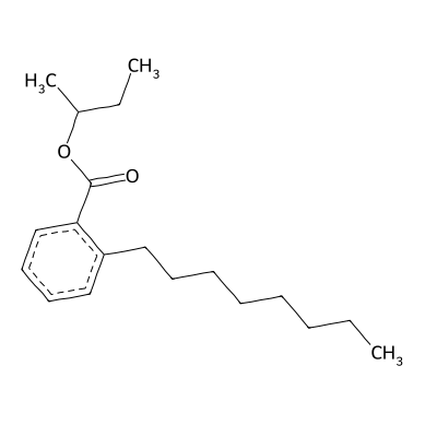 CCCCCCCCc1ccccc1C(=O)OC(C)CC